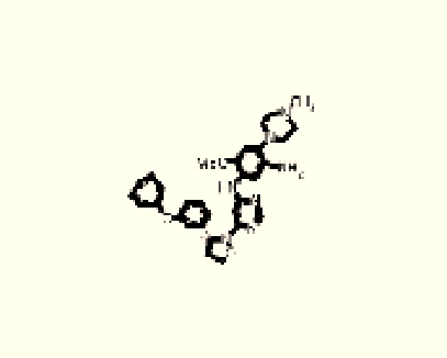 COc1cc(N2CCN(C)CC2)c(N)cc1Nc1cc(N2OCC[C@@H]2c2cccc(Oc3ccccc3)c2)ncn1